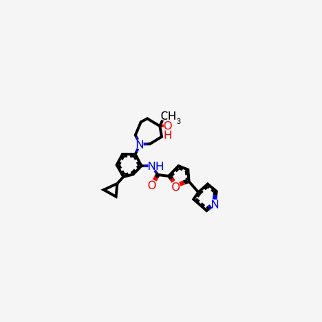 CC1(O)CCCN(c2ccc(C3CC3)cc2NC(=O)c2ccc(-c3ccncc3)o2)CC1